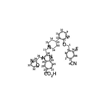 N#Cc1ccc(COc2ncccc2C2CCN(Cc3nc4ccc(C(=O)O)cc4n3Cc3ncco3)CC2)c(F)c1